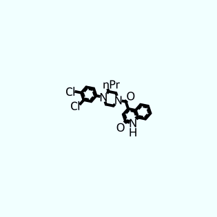 CCCC1CN(C(=O)c2cc(=O)[nH]c3ccccc23)CCN1c1ccc(Cl)c(Cl)c1